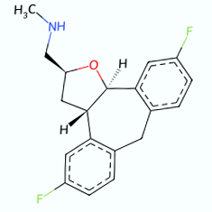 CNC[C@@H]1C[C@H]2c3cc(F)ccc3Cc3ccc(F)cc3[C@@H]2O1